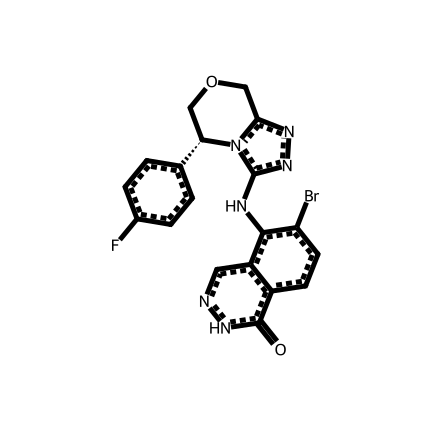 O=c1[nH]ncc2c(Nc3nnc4n3[C@H](c3ccc(F)cc3)COC4)c(Br)ccc12